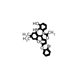 CC(=O)N1c2cccc(O)c2NC2=C(C(=O)CC(C)(C)C2)C1c1ccc(Oc2ccccc2Br)s1